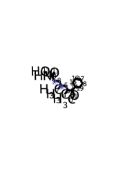 COC(C(C)/C=C(C)/C=C/C(=O)NO)C1CCCCC1